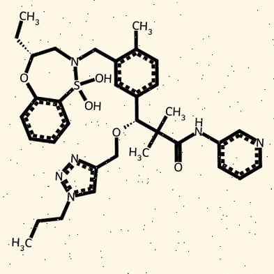 CCCn1cc(CO[C@H](c2ccc(C)c(CN3C[C@@H](CC)Oc4ccccc4S3(O)O)c2)C(C)(C)C(=O)Nc2cccnc2)nn1